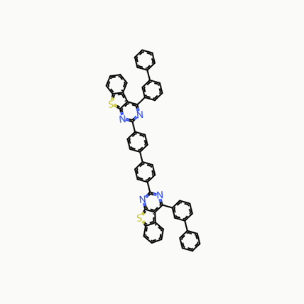 c1ccc(-c2cccc(-c3nc(-c4ccc(-c5ccc(-c6nc(-c7cccc(-c8ccccc8)c7)c7c(n6)sc6ccccc67)cc5)cc4)nc4sc5ccccc5c34)c2)cc1